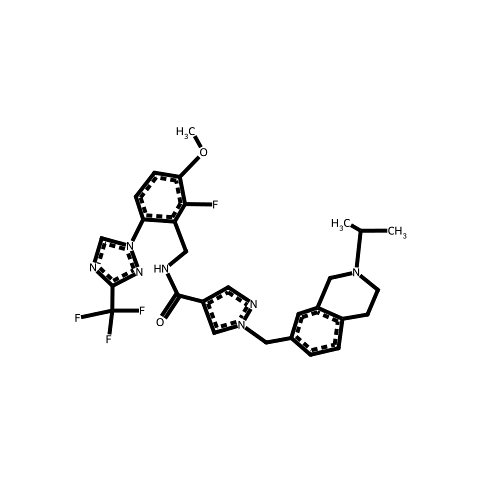 COc1ccc(-n2cnc(C(F)(F)F)n2)c(CNC(=O)c2cnn(Cc3ccc4c(c3)CN(C(C)C)CC4)c2)c1F